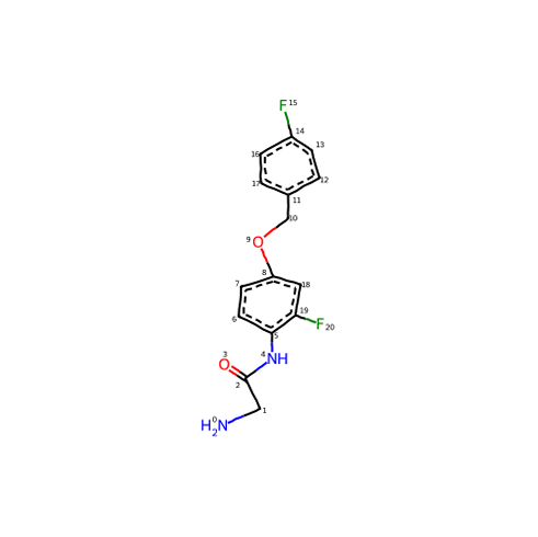 NCC(=O)Nc1ccc(OCc2ccc(F)cc2)cc1F